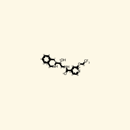 O=C(NC[C@@H](O)[C@@H]1Cc2ccccc2CN1)c1ccnc(OCC(F)(F)F)c1